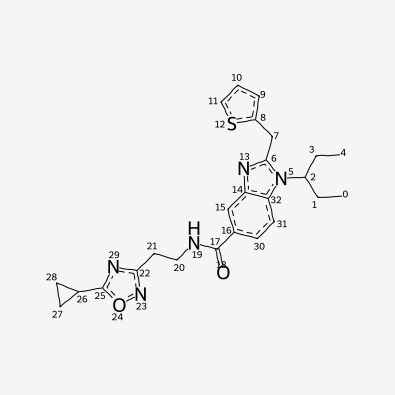 CCC(CC)n1c(Cc2cccs2)nc2cc(C(=O)NCCc3noc(C4CC4)n3)ccc21